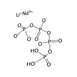 O=P([O-])([O-])OP(=O)([O-])OP(=O)([O-])OP(=O)(O)O.[Li+].[Nd+3]